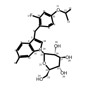 Cc1ccc2c(Cc3ccc(OC(C)C)cc3F)cn([C@@H]3O[C@H](CO)[C@@H](O)[C@H](O)[C@H]3O)c2c1